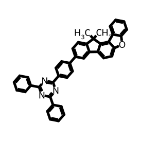 CC1(C)c2ccc(-c3ccc(-c4nc(-c5ccccc5)nc(-c5ccccc5)n4)cc3)cc2-c2ccc3oc4ccccc4c3c21